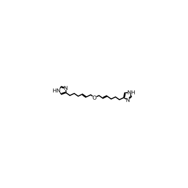 C(=CCOCC=CCCCc1c[nH]cn1)CCCc1c[nH]cn1